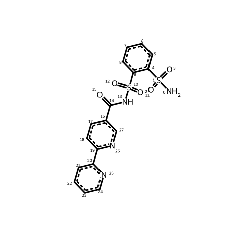 NS(=O)(=O)c1ccccc1S(=O)(=O)NC(=O)c1ccc(-c2ccccn2)nc1